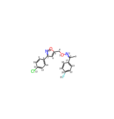 CC(=NOCc1cc(-c2ccc(Cl)cc2)no1)c1ccc(F)cc1